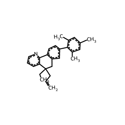 C=CCC1(CC)Cc2cc(-c3c(C)cc(C)cc3C)ccc2-c2ncccc21